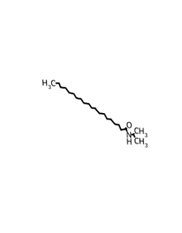 CCCCCCCCCCCCCCCCCCCC(=O)NC(C)C